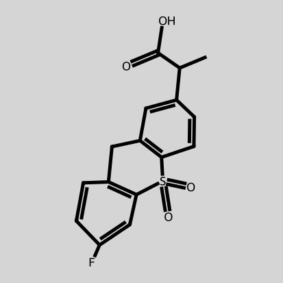 CC(C(=O)O)c1ccc2c(c1)Cc1ccc(F)cc1S2(=O)=O